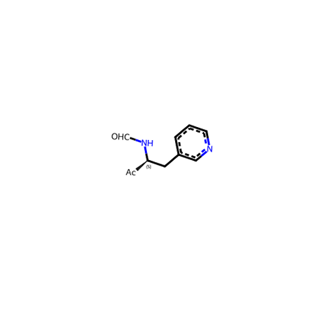 CC(=O)[C@H](Cc1cccnc1)NC=O